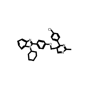 Cc1ncc(COc2ccc(-c3nc4ccccc4n3C3CCCCC3)cc2)c(-c2ccc(Cl)cc2)n1